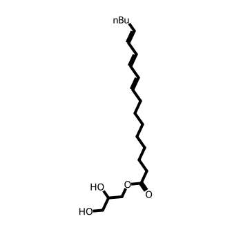 CCCCC=CC=CC=CCCCCCCCC(=O)OCC(O)CO